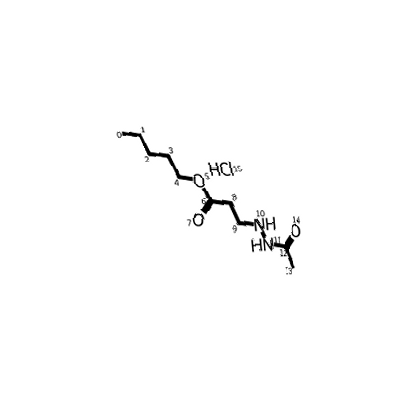 CCCCCOC(=O)CCNNC(C)=O.Cl